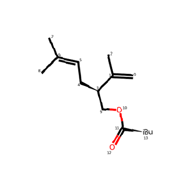 C=C(C)[C@H](CC=C(C)C)COC(=O)[C@H](C)CC